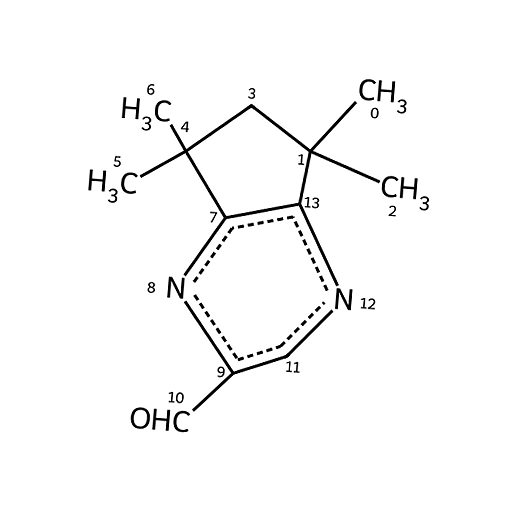 CC1(C)CC(C)(C)c2nc(C=O)cnc21